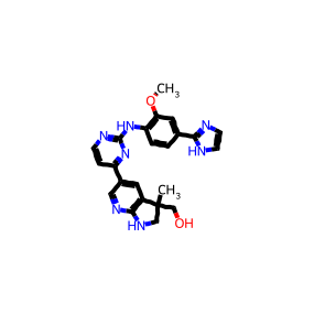 COc1cc(-c2ncc[nH]2)ccc1Nc1nccc(-c2cnc3c(c2)C(C)(CO)CN3)n1